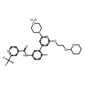 Cc1ccc(NC(=O)c2ccnc(C(F)(F)F)c2)cc1-c1cc(OCCOC2CCCCO2)nc(N2CCOCC2)c1.O